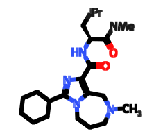 CNC(=O)[C@H](CC(C)C)NC(=O)c1nc(C2CCCCC2)n2c1CN(C)CCC2